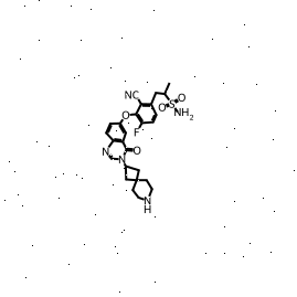 CC(Cc1ccc(F)c(Oc2ccc3ncn(C4CC5(CCNCC5)C4)c(=O)c3c2)c1C#N)S(N)(=O)=O